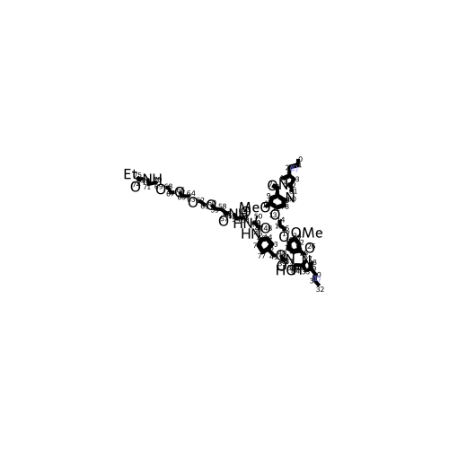 C/C=C/C1=CN2C(=O)c3cc(OC)c(OCCCOc4cc5c(cc4OC)C(=O)N4C=C(/C=C/C)C[C@H]4[C@H](O)N5C(=O)OCc4ccc(NC(=O)[C@H](C)NC(=O)CNC(=O)CCOCCOCCOCCOCCNC(=O)CC)cc4)cc3N=CC2C1